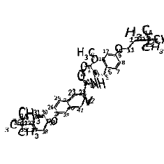 COC(=O)[C@H](Cc1ccc(OCCC(C)(C)C)cc1)NC(=O)c1cc2ccc(Oc3ccc(C(C)(C)C)cc3)cc2cn1